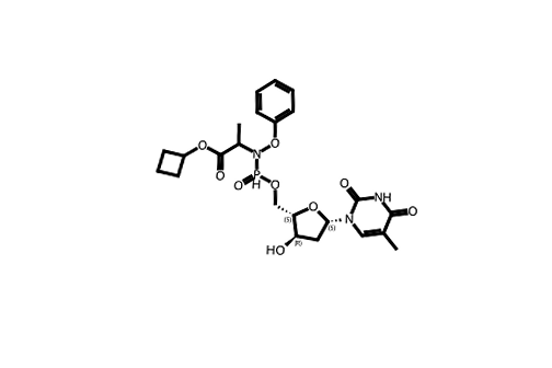 Cc1cn([C@@H]2C[C@@H](O)[C@H](CO[PH](=O)N(Oc3ccccc3)C(C)C(=O)OC3CCC3)O2)c(=O)[nH]c1=O